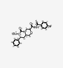 CC(C)(C)OC(=O)N1CC(C(=O)NC(=S)c2ccc(F)cc2)OCC1CCc1ccccc1